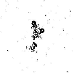 CN(C)Cc1ccc(CSCCNC(=NC(=O)CNN2C(=O)c3ccccc3C2=O)N(C)N=Cc2ccccc2)o1